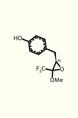 COC1(C(F)(F)F)O[C@@H]1Cc1ccc(O)cc1